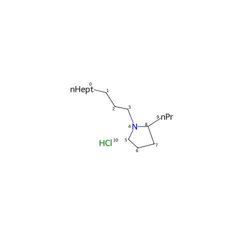 CCCCCCCCCCN1CCCC1CCC.Cl